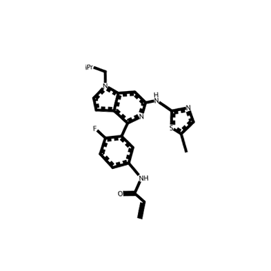 C=CC(=O)Nc1ccc(F)c(-c2nc(Nc3ncc(C)s3)cc3c2ccn3CC(C)C)c1